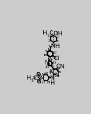 CC1(O)CCC(NCc2ccc(-n3cc(-c4nc(NC5CCN(S(C)(=O)=O)CC5)ncc4C#N)cn3)c(Cl)c2)CC1